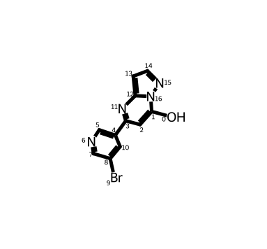 Oc1cc(-c2cncc(Br)c2)nc2ccnn12